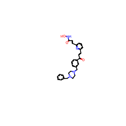 O=C(C=Cc1cccc(C=CC(=O)c2cccc(CN3CCN(Cc4ccccc4)CC3)c2)n1)NO